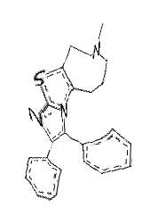 CN1CCc2c(sc3nc(-c4ccccc4)c(-c4ccccc4)n23)C1